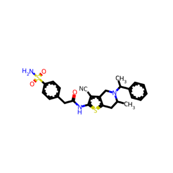 CC1Cc2sc(NC(=O)Cc3ccc(S(N)(=O)=O)cc3)c(C#N)c2CN1C(C)c1ccccc1